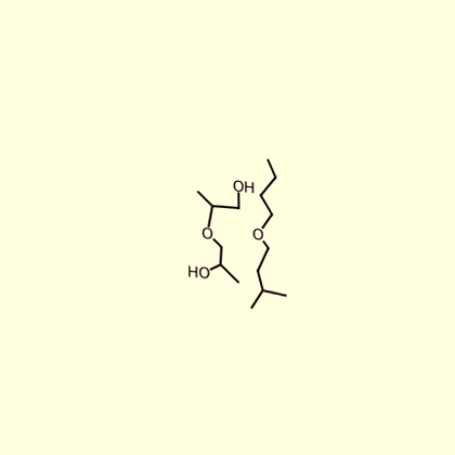 CC(O)COC(C)CO.CCCCOCCC(C)C